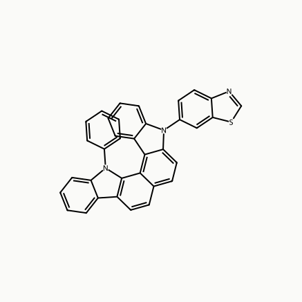 c1ccc(-n2c3ccccc3c3ccc4ccc5c(c6ccccc6n5-c5ccc6ncsc6c5)c4c32)cc1